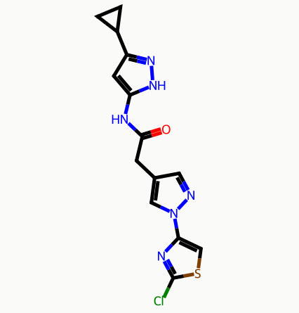 O=C(Cc1cnn(-c2csc(Cl)n2)c1)Nc1cc(C2CC2)n[nH]1